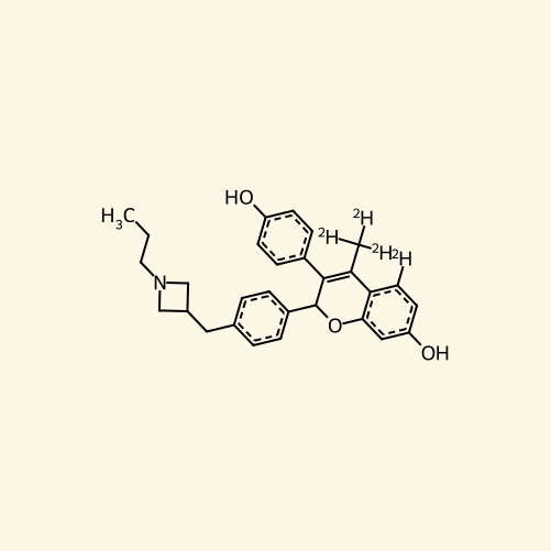 [2H]c1cc(O)cc2c1C(C([2H])([2H])[2H])=C(c1ccc(O)cc1)C(c1ccc(CC3CN(CCC)C3)cc1)O2